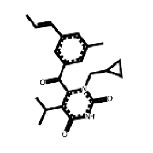 C/C=C/c1cc(C)cc(C(=O)c2c(C(C)C)c(=O)[nH]c(=O)n2CC2CC2)c1